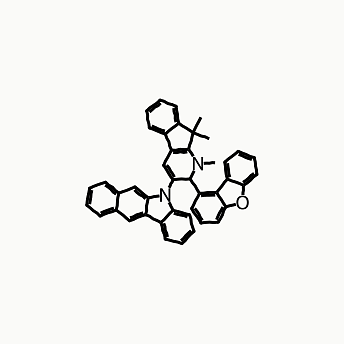 CN1C2=C(C=C(n3c4ccccc4c4cc5ccccc5cc43)C1c1cccc3oc4ccccc4c13)c1ccccc1C2(C)C